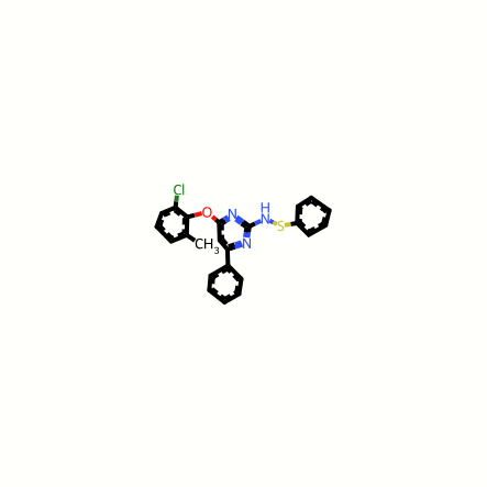 Cc1cccc(Cl)c1Oc1cc(-c2ccccc2)nc(NSc2ccccc2)n1